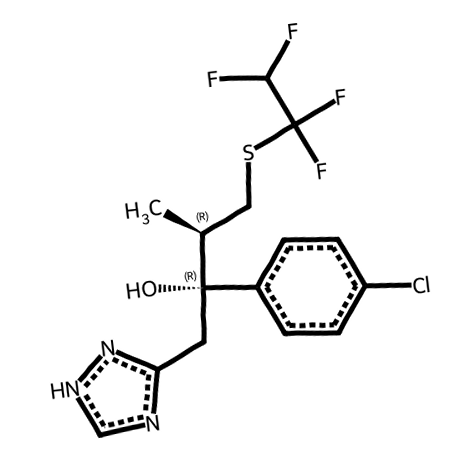 C[C@@H](CSC(F)(F)C(F)F)[C@](O)(Cc1nc[nH]n1)c1ccc(Cl)cc1